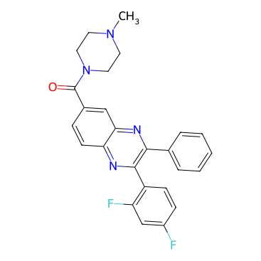 CN1CCN(C(=O)c2ccc3nc(-c4ccc(F)cc4F)c(-c4ccccc4)nc3c2)CC1